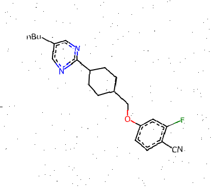 CCCCc1cnc(C2CCC(COc3ccc(C#N)c(F)c3)CC2)nc1